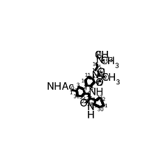 CC(=O)NCc1ccc(C(Nc2cccc(N(CCCN(C)C)S(C)(=O)=O)c2)=C2C(=O)Nc3ccccc32)cc1